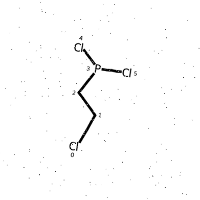 ClCCP(Cl)Cl